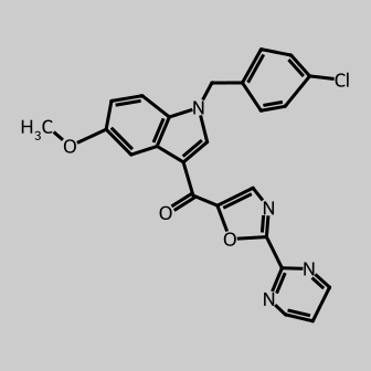 COc1ccc2c(c1)c(C(=O)c1cnc(-c3ncccn3)o1)cn2Cc1ccc(Cl)cc1